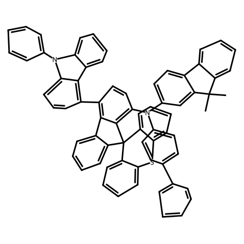 CC1(C)c2ccccc2-c2ccc(N(c3ccc(-c4ccccc4)cc3)c3ccc(-c4cccc5c4c4ccccc4n5-c4ccccc4)c4c3C3(c5ccccc5Sc5ccccc53)c3ccccc3-4)cc21